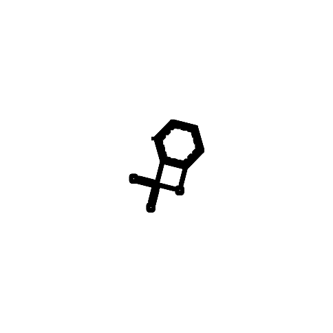 O=S1(=O)Oc2ccc[c]c21